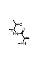 C=C(NC)C(=O)N[C@@H](C)C(C)=O